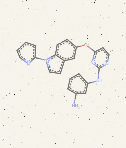 Nc1cccc(Nc2nccc(Oc3ccc4c(ccn4-c4ccccn4)c3)n2)c1